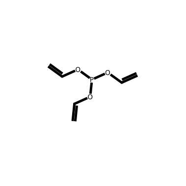 C=COP(OC=C)OC=C